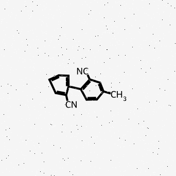 Cc1ccc(-c2ccccc2C#N)c(C#N)c1